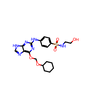 O=S(=O)(NCCO)c1ccc(Nc2nc(OCOC3CCCCC3)c3nc[nH]c3n2)cc1